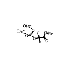 COC(=O)C(F)(F)OB(OC=O)OC=O